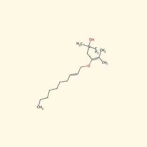 CCCCCCCC=CCOC(C[Si](C)(C)O)=C(C)C